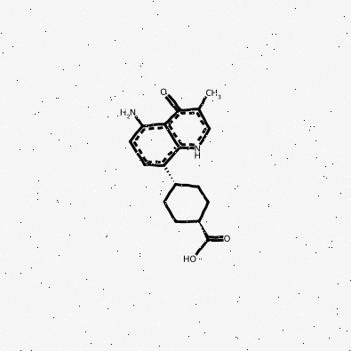 Cc1c[nH]c2c(c(N)ccc2[C@H]2CC[C@H](C(=O)O)CC2)c1=O